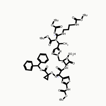 CC(c1cnn(C[C@@H]2[C@H](NC(=O)/C(=N\OC3(C(=O)OC(c4ccccc4)c4ccccc4)CC3)c3csc(NC(=O)OC(C)(C)C)n3)C(=O)N2S(=O)(=O)O)n1)N(C(=O)OC(C)(C)C)/C(=N/C(=O)OC(C)(C)C)NCCCNC(=O)OC(C)(C)C